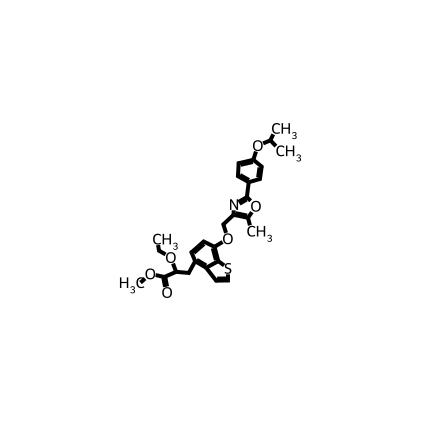 CCOC(Cc1ccc(OCc2nc(-c3ccc(OC(C)C)cc3)oc2C)c2sccc12)C(=O)OC